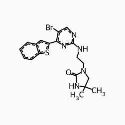 CC1(C)CN(CCNc2ncc(Br)c(-c3cc4ccccc4s3)n2)C(=O)N1